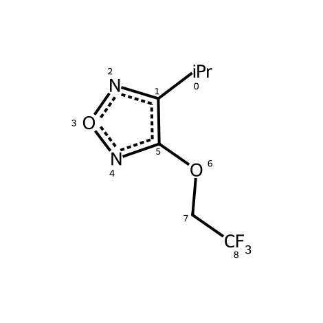 CC(C)c1nonc1OCC(F)(F)F